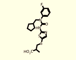 CC(CSc1cnc(NC(=O)N(CC2CCCC2)c2cccc(F)c2)s1)C(=O)O